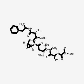 CC[C@H](C)[C@@H]([C@@H](CC(=O)N1[C@H]2C[C@H]2C[C@H]1[C@H](OC)[C@@H](C)C(=O)NC(Cc1ccccc1)C(=O)O)OC)N(C)C(=O)[C@@H](NC(=O)[C@@H](NC)C(C)C)C(C)C